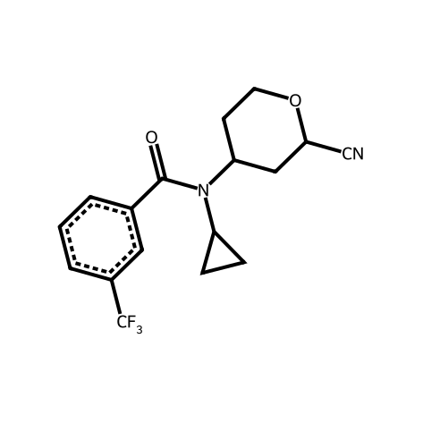 N#CC1CC(N(C(=O)c2cccc(C(F)(F)F)c2)C2CC2)CCO1